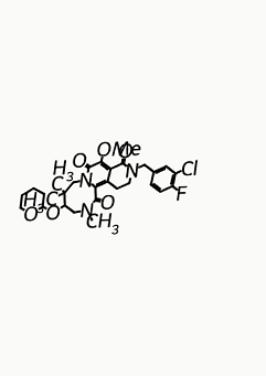 COc1c2c(c3n(c1=O)CC(C)(C)C(OC1CCCCO1)CN(C)C3=O)CCN(Cc1ccc(F)c(Cl)c1)C2=O